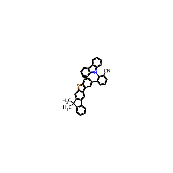 CC1(C)c2ccccc2-c2cc3c(cc21)sc1ccc(-c2cccc(C#N)c2-n2c4c#cccc4c4ccccc42)cc13